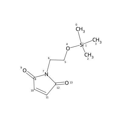 C[Si](C)(C)OCCN1C(=O)C=CC1=O